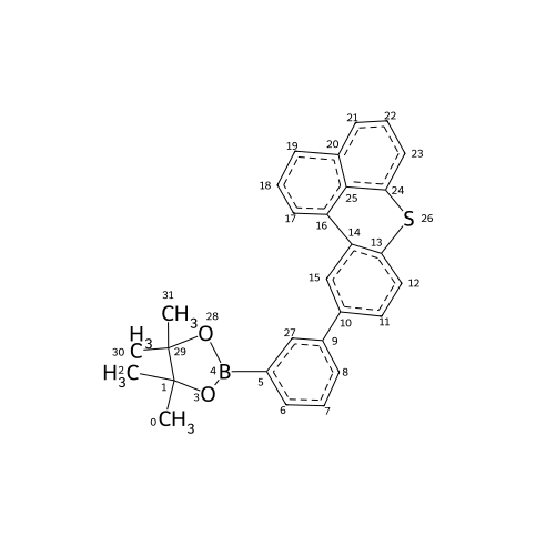 CC1(C)OB(c2cccc(-c3ccc4c(c3)-c3cccc5cccc(c35)S4)c2)OC1(C)C